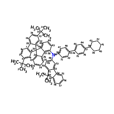 CC(C)(C)c1ccc2c(c1)C1(c3cc(C(C)(C)C)ccc3-2)c2ccccc2-c2c(N(c3ccc(-c4ccc(C5CCCCC5)cc4)cc3)c3ccc4c(c3)-c3ccccc3C4(C)C)cccc21